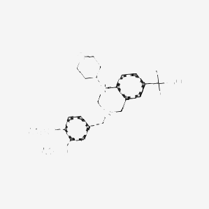 COc1ccc(CN2Cc3cc(C(C)(C)O)ccc3N(C3CCOCC3)C2)cc1OC